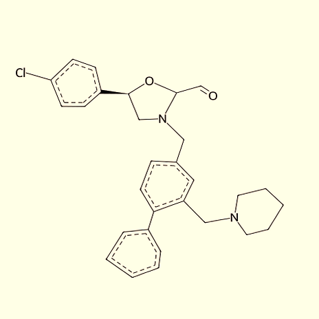 O=CC1O[C@H](c2ccc(Cl)cc2)CN1Cc1ccc(-c2ccccc2)c(CN2CCCCC2)c1